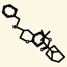 CC(C)(C)OC(=O)N1C2CCC1CN(c1ccc3c(c1)OCC(NCc1ccccc1)C3)C2